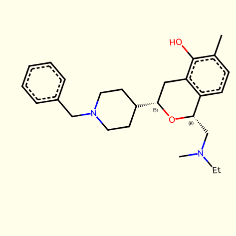 CCN(C)C[C@@H]1O[C@H](C2CCN(Cc3ccccc3)CC2)Cc2c1ccc(C)c2O